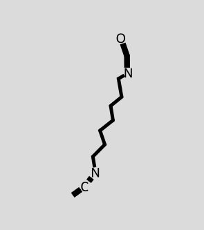 C=C=NCCCCCCCN=C=O